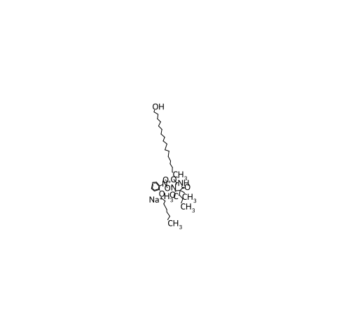 CCCC(C)C1(CC)C(=O)N=C([O-])NC1=O.CCCCCCCCCCCCCCCCCCO.CCCCCCCCOc1ccccc1[N+](=O)[O-].[Na+]